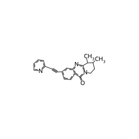 CC1CCn2c(nc3cc(C#Cc4ccccn4)ccc3c2=O)C1C